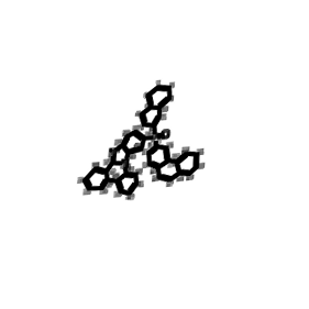 O=P(c1ccc2ccccc2c1)(c1ccc2ccc3ccccc3c2c1)c1ccc2nc3c4ccccc4c4ccccc4n3c2c1